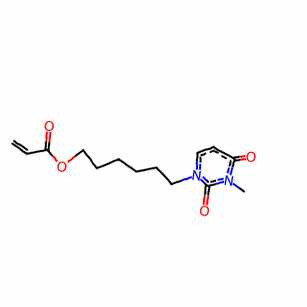 C=CC(=O)OCCCCCCn1ccc(=O)n(C)c1=O